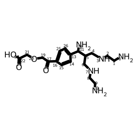 NCCNCC(CNCCN)C(N)c1ccc(C(=O)COCC(=O)O)cc1